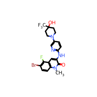 Cn1c(=O)c(Nc2ccc(N3CCC(O)(C(F)(F)F)CC3)cn2)cc2c(F)c(Br)ccc21